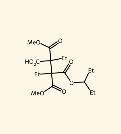 CCC(CC)OC(=O)C(CC)(C(=O)OC)C(CC)(C(=O)O)C(=O)OC